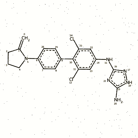 C=C1CCCN1c1ccc(-c2c(Cl)cc(Nc3n[nH]c(N)n3)cc2Cl)cc1